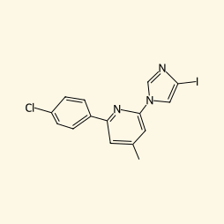 Cc1cc(-c2ccc(Cl)cc2)nc(-n2cnc(I)c2)c1